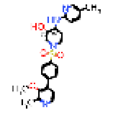 COc1c(-c2ccc(S(=O)(=O)N3CC[C@@H](Nc4ccc(C)cn4)[C@@H](O)C3)cc2)ccnc1C